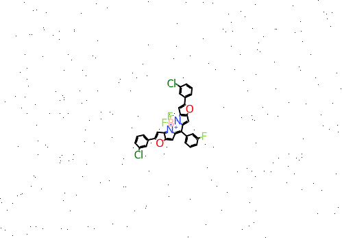 Fc1cccc(C2=C3C=c4oc(-c5cccc(Cl)c5)cc4=[N+]3[B-](F)(F)n3c2cc2oc(-c4cccc(Cl)c4)cc23)c1